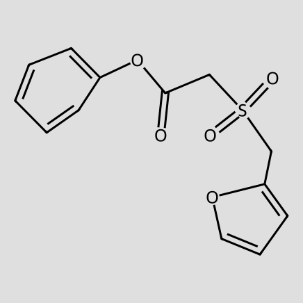 O=C(CS(=O)(=O)Cc1ccco1)Oc1ccccc1